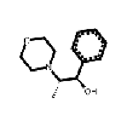 C[C@@H]([C@H](O)c1ccccc1)N1CCOCC1